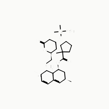 C[C@H]1C=C2C=C[C@H](C)[C@H](CC[C@@H]3C[C@@H](O[Si](C)(C)C(C)(C)C)CC(=O)O3)[C@H]2[C@@H](OC(=O)C2(C)CCCC2)C1